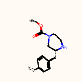 CC(C)(C)OC(=O)N1CCN[C@H](Cc2ccc(C#N)cc2)C1